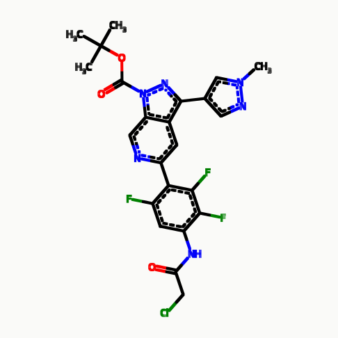 Cn1cc(-c2nn(C(=O)OC(C)(C)C)c3cnc(-c4c(F)cc(NC(=O)CCl)c(F)c4F)cc23)cn1